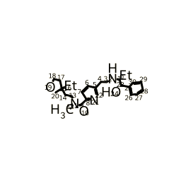 CC[C@@H](NCCc1ccc(C(=O)N(C)CCC2(CC)CCOC2)nc1)[C@H](O)c1ccccc1